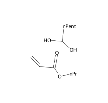 C=CC(=O)OCCC.CCCCCC(O)O